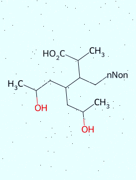 CCCCCCCCCCC([C](CC(C)O)CC(C)O)C(C)C(=O)O